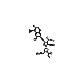 C=CC(=O)N1C[C@@H](n2nc(C#Cc3cc4ncc(F)c(C5CC5)c4cc3Cl)c(C(N)=O)c2NC)C[C@@H]1COC